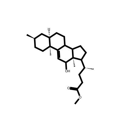 COC(=O)CC[C@@H](C)C1CCC2C3CC[C@@H]4C[C@H](C)CC[C@]4(C)C3=CC(O)[C@@]21C